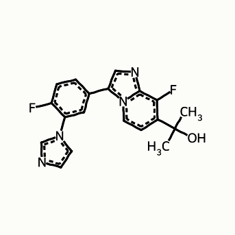 CC(C)(O)c1ccn2c(-c3ccc(F)c(-n4ccnc4)c3)cnc2c1F